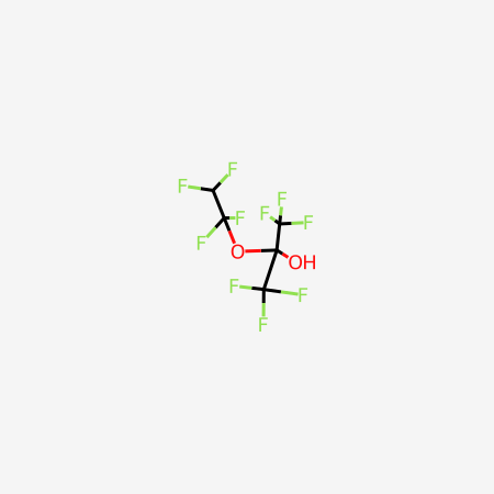 OC(OC(F)(F)C(F)F)(C(F)(F)F)C(F)(F)F